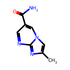 Cc1cn2cc(C(N)=O)cnc2n1